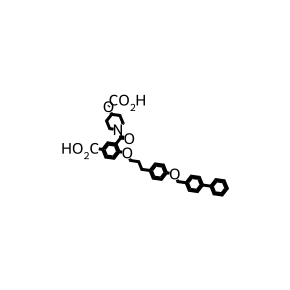 O=C(O)OC1CCN(C(=O)c2cc(C(=O)O)ccc2OCCCc2ccc(OCc3ccc(-c4ccccc4)cc3)cc2)CC1